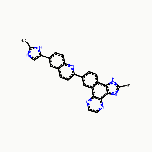 Cc1ncc(-c2ccc3nc(-c4ccc5c(c4)c4nccnc4c4nc(C(C)C)[nH]c54)ccc3c2)[nH]1